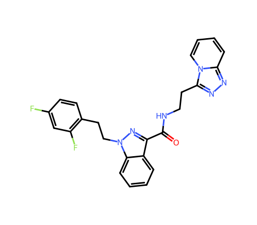 O=C(NCCc1nnc2ccccn12)c1nn(CCc2ccc(F)cc2F)c2ccccc12